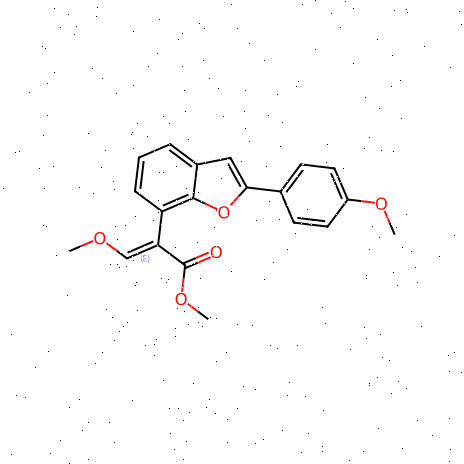 CO/C=C(/C(=O)OC)c1cccc2cc(-c3ccc(OC)cc3)oc12